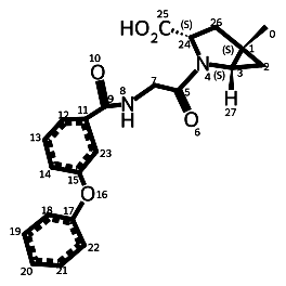 C[C@@]12C[C@@H]1N(C(=O)CNC(=O)c1cccc(Oc3ccccc3)c1)[C@H](C(=O)O)C2